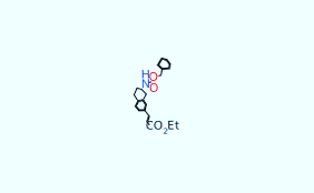 CCOC(=O)C=Cc1ccc2c(c1)C[C@@H](NC(=O)OCc1ccccc1)CC2